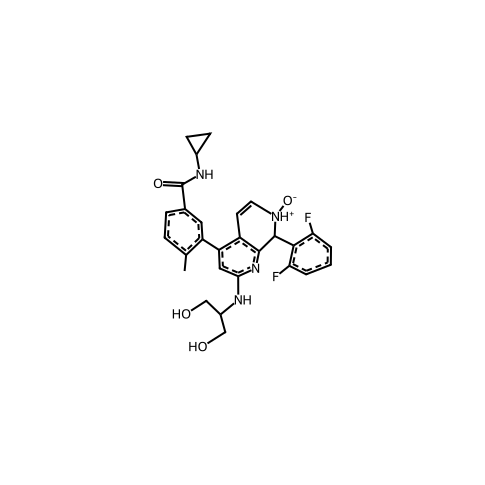 Cc1ccc(C(=O)NC2CC2)cc1-c1cc(NC(CO)CO)nc2c1C=C[NH+]([O-])C2c1c(F)cccc1F